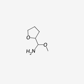 COC(N)C1CCCO1